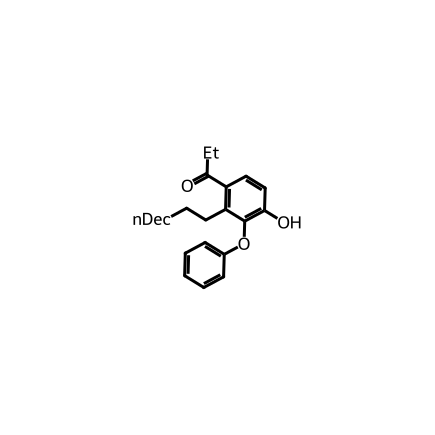 CCCCCCCCCCCCc1c(C(=O)CC)ccc(O)c1Oc1ccccc1